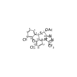 CC(=O)O[C@H]1S[C@H](c2cccc(Cl)c2Cl)c2cc(Cl)ccc2-n2c1nnc2C(F)(F)F